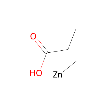 CCC(=O)O.[CH3][Zn]